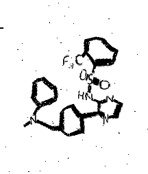 CN(Cc1ccc(-c2nccnc2NS(=O)(=O)c2ccccc2C(F)(F)F)cc1)c1ccccc1